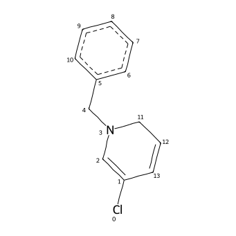 ClC1=CN(Cc2ccccc2)CC=C1